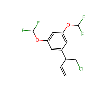 C=CC(CCl)c1cc(OC(F)F)cc(OC(F)F)c1